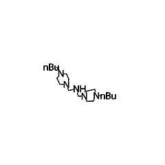 CCCCN1CCN(CNCN2CCN(CCCC)CC2)CC1